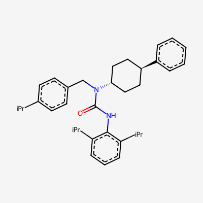 CC(C)c1ccc(CN(C(=O)Nc2c(C(C)C)cccc2C(C)C)[C@H]2CC[C@H](c3ccccc3)CC2)cc1